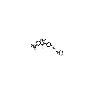 Cc1nc2ccc([N+](=O)[O-])cc2c(=O)n1-c1ccc(OCCCN2CCCCC2)cc1